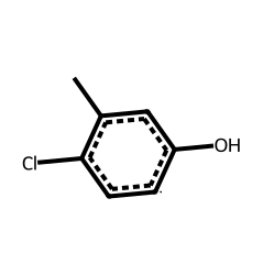 Cc1cc(O)[c]cc1Cl